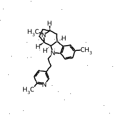 Cc1ccc2c(c1)[C@@H]1C[C@H]3CC[C@@H]([C@@H]1N2CCc1ccc(C)nc1)N3C